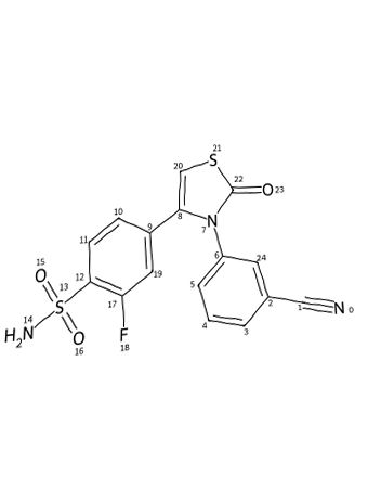 N#Cc1cccc(-n2c(-c3ccc(S(N)(=O)=O)c(F)c3)csc2=O)c1